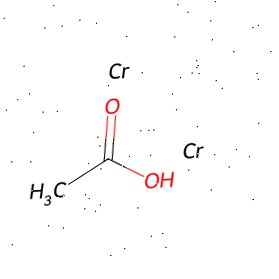 CC(=O)O.[Cr].[Cr]